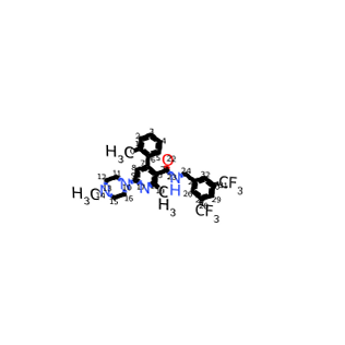 Cc1ccccc1-c1cc(N2CCN(C)CC2)nc(C)c1C(=O)NCc1cc(C(F)(F)F)cc(C(F)(F)F)c1